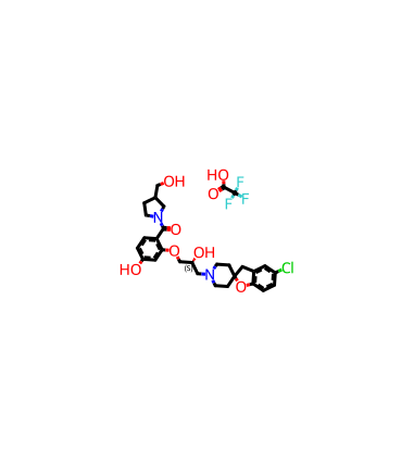 O=C(O)C(F)(F)F.O=C(c1ccc(O)cc1OC[C@@H](O)CN1CCC2(CC1)Cc1cc(Cl)ccc1O2)N1CCC(CO)C1